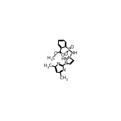 COC(=O)c1ccccc1S(=O)(=O)NN1C=CN(c2nc(C)cc(C)n2)N1